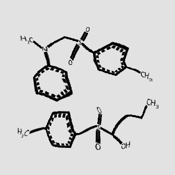 CCCC(O)S(=O)(=O)c1ccc(C)cc1.Cc1ccc(S(=O)(=O)CN(C)c2ccccc2)cc1